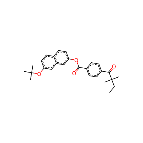 CCC(C)(C)C(=O)c1ccc(C(=O)Oc2ccc3ccc(OC(C)(C)C)cc3c2)cc1